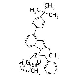 CCC1=Cc2c(-c3ccc(C(C)(C)C)cc3)cccc2[CH]1[Zr]([CH2]c1ccccc1)([CH2]c1ccccc1)[O][SiH](C)C